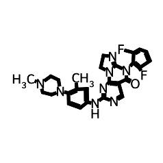 Cc1cc(Nc2ncc3c(n2)N2CCN=C2N(c2c(F)cccc2F)C3=O)ccc1N1CCN(C)CC1